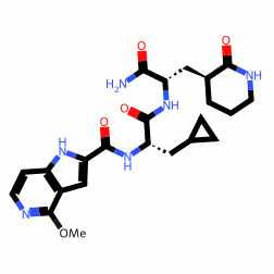 COc1nccc2[nH]c(C(=O)N[C@@H](CC3CC3)C(=O)N[C@@H](C[C@@H]3CCCNC3=O)C(N)=O)cc12